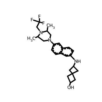 CC1CN(c2ccc3cc(NC4CC5(CC(O)C5)C4)ccc3c2)CC(C)N1CC(F)(F)F